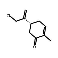 C=C(CCl)[C@@H]1CC=C(C)C(=O)C1